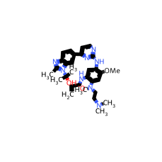 C=CC(=O)Nc1cc(Nc2nccc(-c3ccc4nc(C)n(C(C)(C)O)c4c3)n2)c(OC)cc1N(C)CCN(C)C